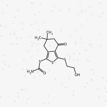 CC1(C)CC(=O)c2c(SCCO)sc(SC(N)=O)c2C1